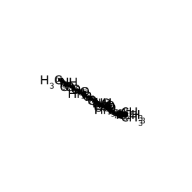 CCCNC(=O)COCCOCCNC(=O)COCCOCCNC(=O)CC[C@H](NC(=O)CCCc1ccc(C(C)(C)C)cc1)C(=O)O